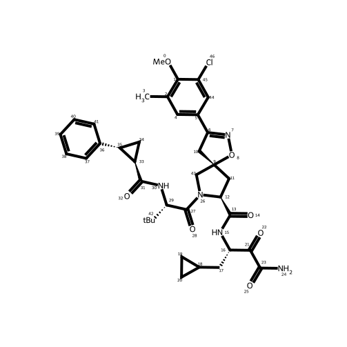 COc1c(C)cc(C2=NO[C@]3(C2)C[C@@H](C(=O)N[C@@H](CC2CC2)C(=O)C(N)=O)N(C(=O)[C@@H](NC(=O)[C@@H]2C[C@H]2c2ccccc2)C(C)(C)C)C3)cc1Cl